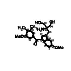 COc1ccc2c(C(=O)c3cc(C)c(C)c(OC)c3)cn(CC(N)(CO)CO)c2c1